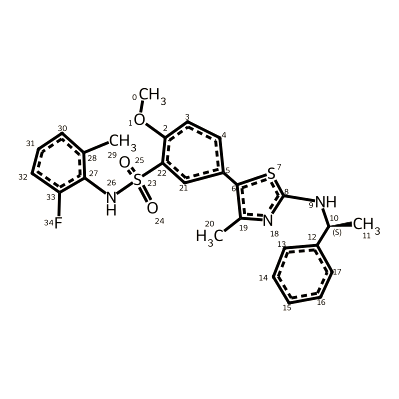 COc1ccc(-c2sc(N[C@@H](C)c3ccccc3)nc2C)cc1S(=O)(=O)Nc1c(C)cccc1F